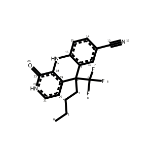 CCCCC1(C(F)(F)F)c2cc(C#N)ccc2Nc2c1cc[nH]c2=O